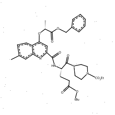 CCOC(=O)N1CCN(C(=O)[C@H](CCC(=O)OC(C)(C)C)NC(=O)c2cc(O[C@H](C)C(=O)OCc3ccccc3)c3ccc(C)cc3n2)CC1